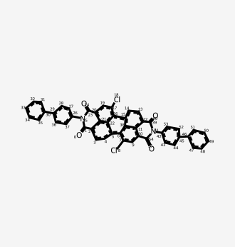 O=C1c2ccc3c4c(Cl)cc5c6c(ccc(c7c(Cl)cc(c2c37)C(=O)N1c1ccc(-c2ccccc2)cc1)c64)C(=O)N(c1ccc(-c2ccccc2)cc1)C5=O